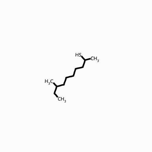 CCC(C)CCCCCC(C)S